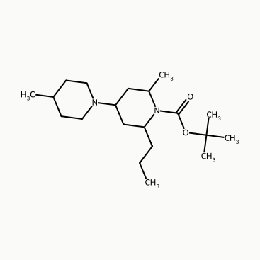 CCCC1CC(N2CCC(C)CC2)CC(C)N1C(=O)OC(C)(C)C